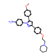 COc1ccc(-c2cc(-c3ccc(OCCN4CCCCC4)cc3)nn2-c2ccc(N)cc2)cc1